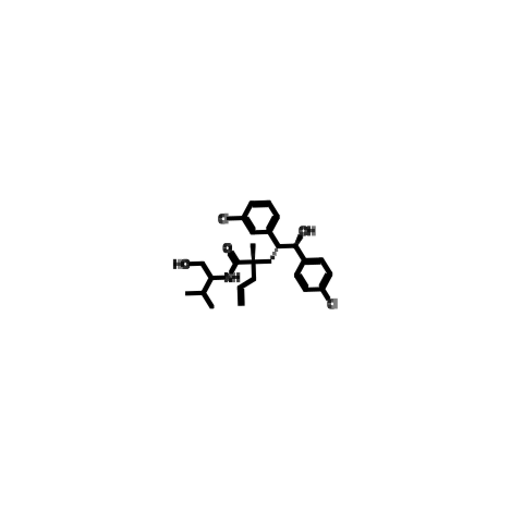 C=CC[C@@](C)(C[C@H](c1cccc(Cl)c1)[C@@H](O)c1ccc(Cl)cc1)C(=O)NC(CO)C(C)C